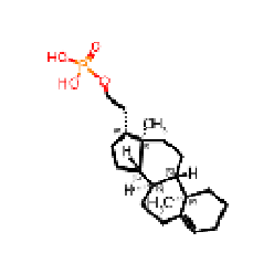 C[C@]12CC[C@H]3[C@@H](CCC4=CCCC[C@@]43C)[C@@H]1CC[C@@H]2CCOP(=O)(O)O